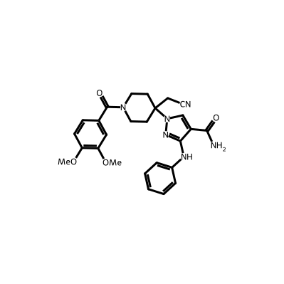 COc1ccc(C(=O)N2CCC(CC#N)(n3cc(C(N)=O)c(Nc4ccccc4)n3)CC2)cc1OC